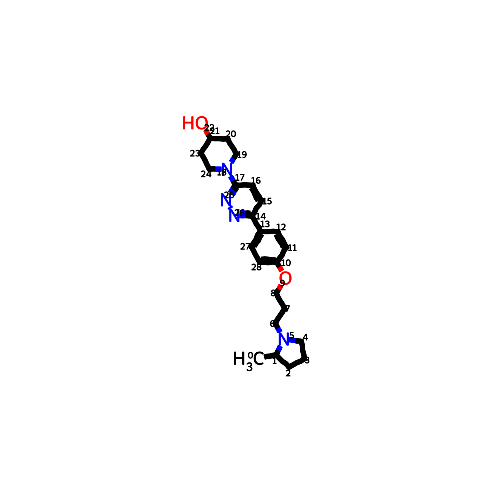 CC1CCCN1CCCOc1ccc(-c2ccc(N3CCC(O)CC3)nn2)cc1